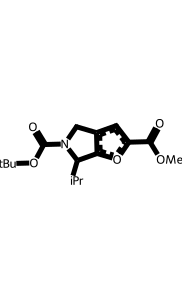 COC(=O)c1cc2c(o1)C(C(C)C)N(C(=O)OC(C)(C)C)C2